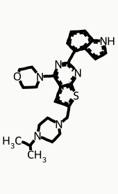 CC(C)N1CCN(Cc2cc3c(N4CCOCC4)nc(-c4cccc5[nH]ccc45)nc3s2)CC1